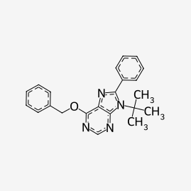 CC(C)(C)n1c(-c2ccccc2)nc2c(OCc3ccccc3)ncnc21